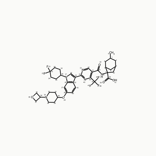 CC1CC2CC(C1)C(NC(=O)c1cnc(-c3cn(C4CCC(F)(F)CC4)c4cc(OC5CCN(C6COC6)CC5)ccc34)nc1C(F)(F)F)(C(=O)O)C2